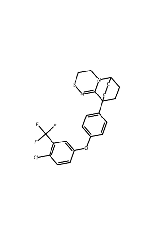 FC(F)(F)c1cc(Oc2ccc(C34CCC(CC3)N3CCSN=C34)cc2)ccc1Cl